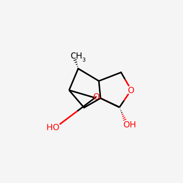 C[C@H]1C2CC3C1CO[C@]3(O)OC2O